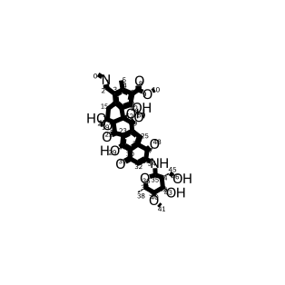 C/N=C/c1c(C)c(C(=O)OC)c(O)c2c1C[C@@H](O)[C@@]1(OC)C(=O)c3c(cc4c(c3O)C(=O)C=C(NC3O[C@@H](C)[C@H](OC)[C@@H](O)[C@H]3CO)C4=O)C(=O)[C@@]21O